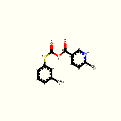 COc1cccc(SC(=O)OC(=O)c2ccc(C(F)(F)F)nc2)c1